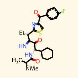 CC[C@@H](C(=N)C(=O)[C@@H](NC(=O)C(C)NC)C1CCCCC1)c1nc(C(=O)c2ccc(F)cc2)cs1